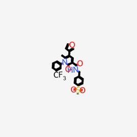 Cc1c(-c2ccoc2)cc(C(=O)NCc2ccc(S(C)(=O)=O)cc2)c(=O)n1-c1cccc(C(F)(F)F)c1